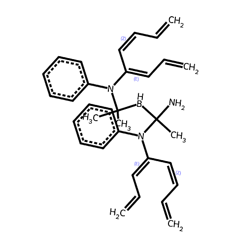 C=C/C=C\C(=C/C=C)N(c1ccccc1)C(C)(C)BC(C)(N)N(C(/C=C\C=C)=C/C=C)c1ccccc1